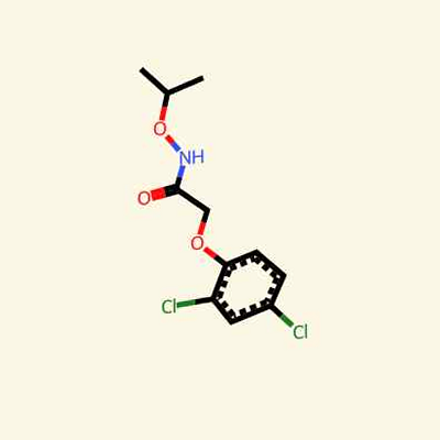 CC(C)ONC(=O)COc1ccc(Cl)cc1Cl